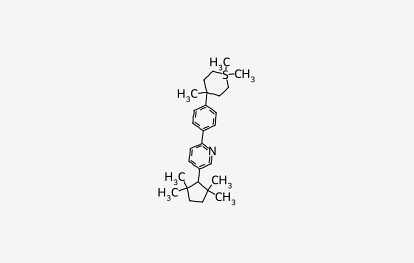 CC1(c2ccc(-c3ccc(C4C(C)(C)CCC4(C)C)cn3)cc2)CCS(C)(C)CC1